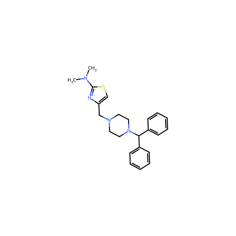 CN(C)c1nc(CN2CCN(C(c3ccccc3)c3ccccc3)CC2)cs1